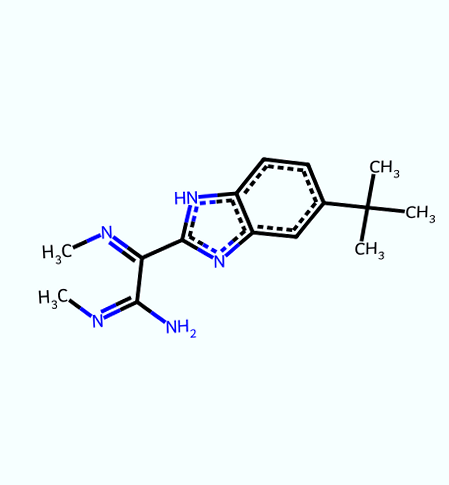 C/N=C(N)\C(=N/C)c1nc2cc(C(C)(C)C)ccc2[nH]1